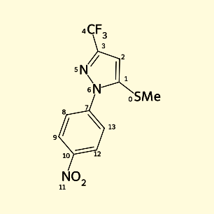 CSc1cc(C(F)(F)F)nn1-c1ccc([N+](=O)[O-])cc1